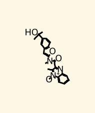 Cc1c(C(=O)N(C)c2cc3cc(C(C)(C)O)ccc3o2)nc2ccccc2[n+]1[O-]